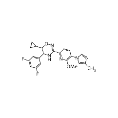 COc1nc(C2=NOC(C3CC3)C(c3cc(F)cc(F)c3)N2)ccc1-n1cnc(C)c1